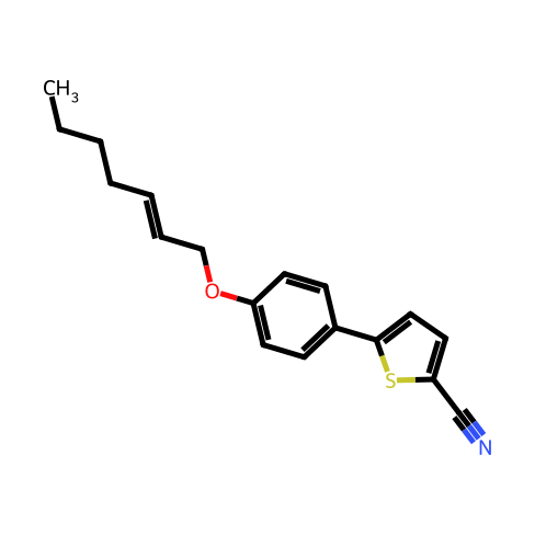 CCCCC=CCOc1ccc(-c2ccc(C#N)s2)cc1